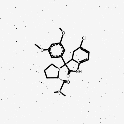 COc1cc(OC)cc(C2(N3CCC[C@H]3C(=O)N(C)C)C(=O)NC3=CC=C(Cl)CC32)c1